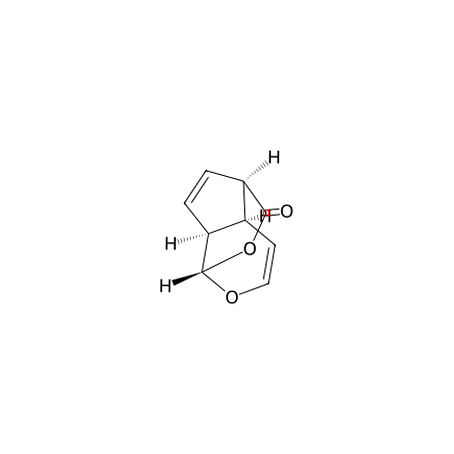 O=C1O[C@@H]2OC=C[C@H]3[C@@H]2C=C[C@@H]13